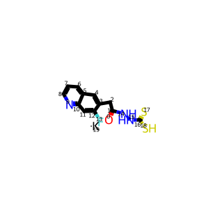 O=C(Cc1cc2cccnc2cc1F)NNC(=S)S.[K]